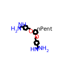 CCCCCc1cc(OCc2ccc(C(=N)N)cc2)cc(OCc2ccc(C(=N)N)cc2)c1